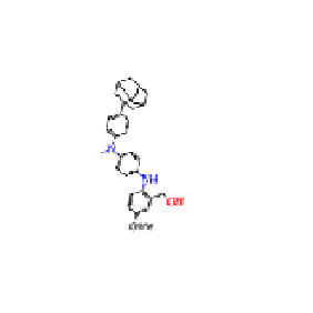 COc1ccc(Nc2ccc(N(C)c3ccc(C45CC6CC(CC(C6)C4)C5)cc3)cc2)c(CO)c1